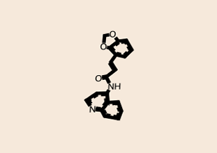 O=C(/C=C/c1cccc2c1OCO2)Nc1ccnc2ccccc12